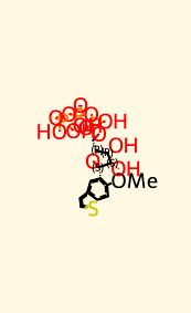 COc1cc2sccc2cc1[C@@H]1O[C@H](COP(=O)(O)OP(=O)(O)OP(=O)(O)O)[C@H](O)[C@@H]1O